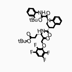 CC(C)(C)OC(=O)CC[C@H](NC(=O)[C@H]1Cc2ccccc2N(C(=O)C(=O)Nc2ccccc2C(C)(C)C)C1)C(=O)COc1c(F)c(F)cc(F)c1F